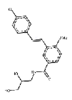 COc1ccc(C(=O)NCC(O)CO)cc1/C=C/c1ccc(Cl)cc1